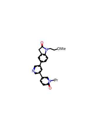 COCCN1C(=O)Cc2cc(-c3cncc(-c4ccc(=O)n(C(C)C)c4)c3)ccc21